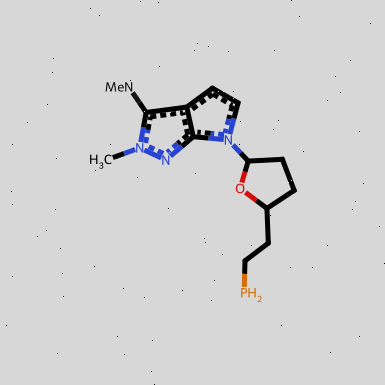 CNc1c2ccn(C3CCC(CCP)O3)c2nn1C